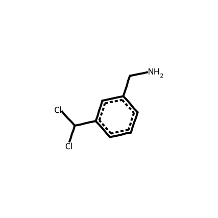 NCc1cccc(C(Cl)Cl)c1